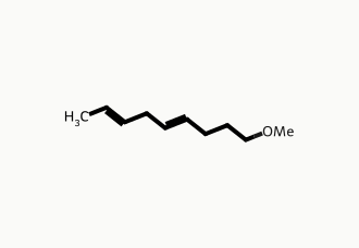 CC=CCC=CCCCOC